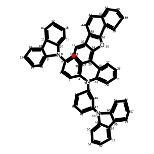 c1cc(N(c2ccc(-n3c4ccccc4c4ccccc43)cc2)c2ccccc2-c2cccc3c2oc2c4ccccc4ccc32)cc(-n2c3ccccc3c3ccccc32)c1